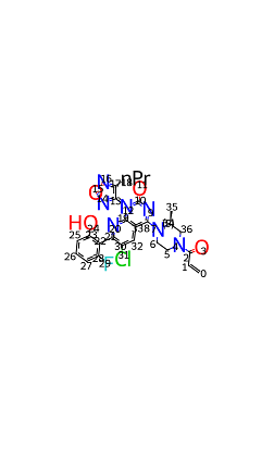 C=CC(=O)N1CCN(c2nc(=O)n(-c3nonc3CCC)c3nc(-c4c(O)cccc4F)c(Cl)cc23)[C@@H](C)C1